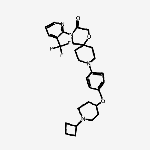 O=C1COC2(CCN(c3ccc(OC4CCN(C5CCC5)CC4)cc3)CC2)CN1c1ncccc1C(F)(F)F